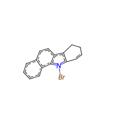 Brn1c2c(c3ccc4ccccc4c31)CCC=C2